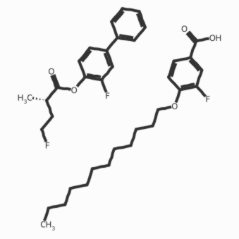 CCCCCCCCCCCCOc1ccc(C(=O)O)cc1F.C[C@@H](CCF)C(=O)Oc1ccc(-c2ccccc2)cc1F